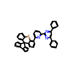 c1ccc(-c2cc(-c3ccccc3)nc(-c3cccc(-c4cccc5c4Sc4ccccc4C54c5ccccc5-c5ccccc54)n3)n2)cc1